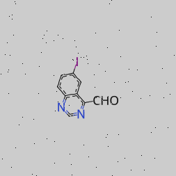 O=Cc1ncnc2ccc(I)cc12